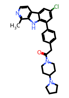 Cc1nccc2c1[nH]c1c(-c3ccc(CC(=O)N4CCC(N5CCCC5)CC4)cc3)cc(Cl)cc12